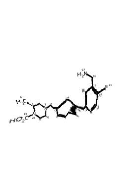 C[C@H]1CN(Cc2cccc(-c3ccc(F)c(CN)c3)c2)CCN1C(=O)O